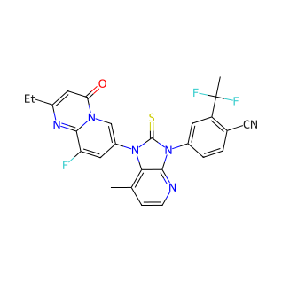 CCc1cc(=O)n2cc(-n3c(=S)n(-c4ccc(C#N)c(C(C)(F)F)c4)c4nccc(C)c43)cc(F)c2n1